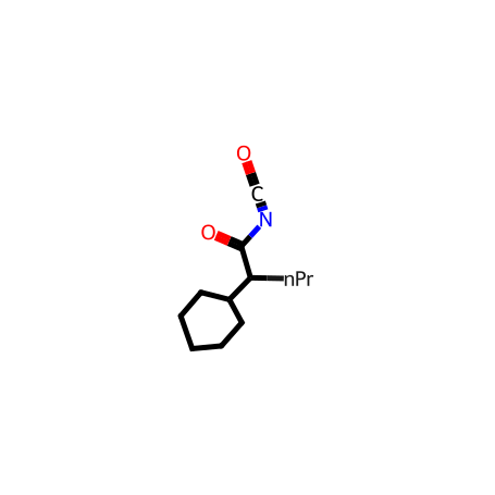 CCCC(C(=O)N=C=O)C1CCCCC1